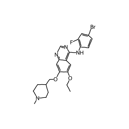 CCOc1cc2c(Nc3ccc(Br)cc3F)ncnc2cc1OCC1CCN(C)CC1